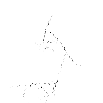 CCCCCCCC(CCCCCCC)OC(=O)CCCN(CCCC(=O)OC(CCCCCCC)CCCCCCCCCCCCC(CCCCC)OC(=O)CCCN(CCCC(=O)OC(CCCCC)CCCCC)C(=O)SCCCN(CC)CC)C(=O)SCCCN(C)C